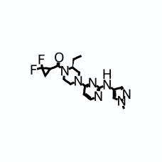 CC[C@H]1CN(c2ccnc(Nc3cnn(C)c3)n2)CCN1C(=O)C1CC1(F)F